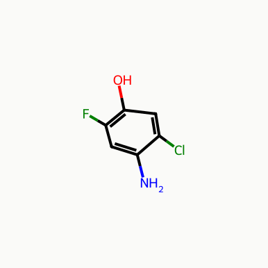 Nc1cc(F)c(O)cc1Cl